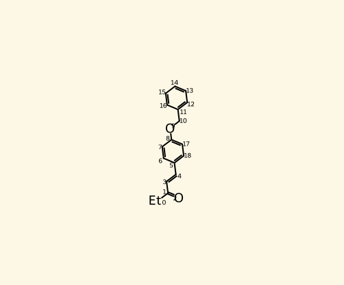 CCC(=O)/C=C/c1ccc(OCc2ccccc2)cc1